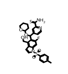 Cc1ccc(S(=O)(=O)n2ccc3c(CO)c(C(OC4CCCCO4)c4ccnc(C(N)=S)c4)c(F)cc32)cc1